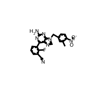 Cc1cc(Cn2cnc3c(-c4cccc(C#N)c4F)nc(N)nc32)ccc1[N+](=O)[O-]